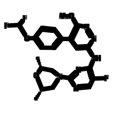 COc1nnc(Nc2nc(N3C[C@@H](C)O[C@@H](C)C3)ncc2F)cc1-c1ccc(OC(F)F)cc1